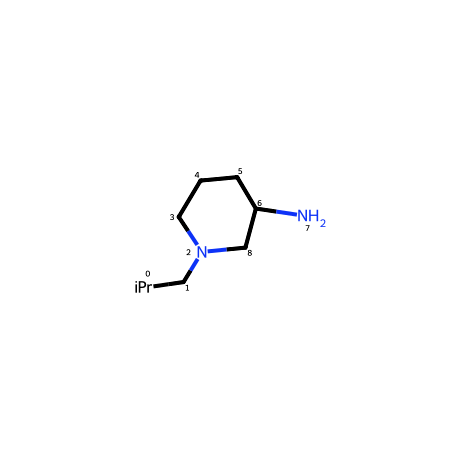 CC(C)CN1CCCC(N)C1